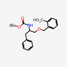 CC(C)(C)OC(=O)NC(COCc1ccccc1C(=O)O)Cc1ccccc1